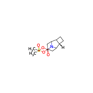 CCOC(=O)N1C2CC(OS(C)=O)CC1[C@H]1CCC21